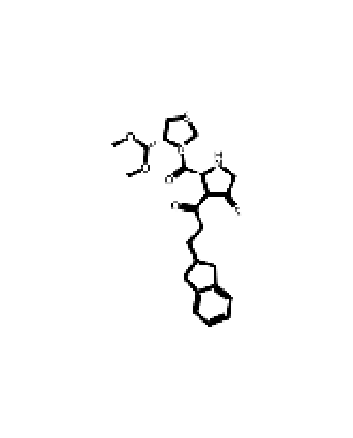 COC(OC)[C@@H]1CSCN1C(=O)[C@H]1NCC(=S)C1C(=O)CCC1Cc2ccccc2C1